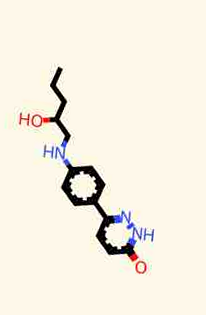 CCCC(O)CNc1ccc(-c2ccc(=O)[nH]n2)cc1